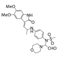 COc1cc2c(cc1OC)C(=CC(C)Nc1ccc(N(C(C=O)N3CCOCC3)S(C)(=O)=O)cc1)C(=O)N2